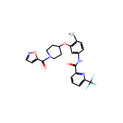 Cc1ccc(NC(=O)c2cccc(C(F)(F)F)n2)cc1OC1CCN(C(=O)c2ccno2)CC1